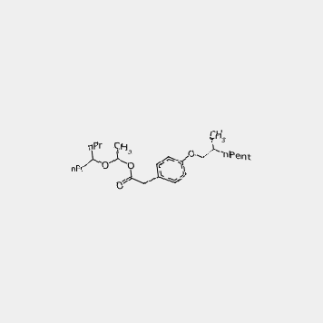 CCCCCC(C)COc1ccc(CC(=O)OC(C)OC(CCC)CCC)cc1